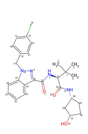 CC(C)(C)[C@H](NC(=O)c1nn(Cc2ccc(F)cc2)c2ccccc12)C(=O)N[C@@H]1CCC(O)C1